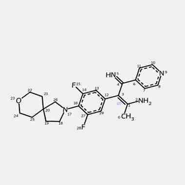 C/C(N)=C(/C(=N)c1ccncc1)c1cc(F)c(N2CCC3(CCOCC3)C2)c(F)c1